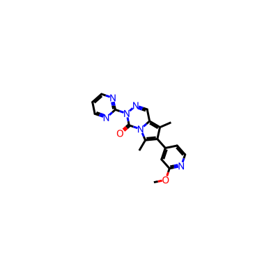 COc1cc(-c2c(C)c3cnn(-c4ncccn4)c(=O)n3c2C)ccn1